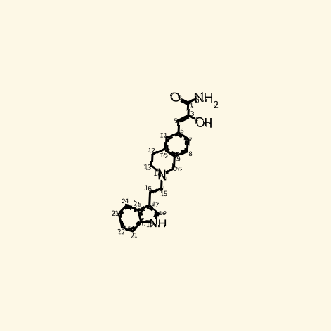 NC(=O)C(O)=Cc1ccc2c(c1)CCN(CCc1c[nH]c3ccccc13)C2